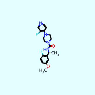 COc1ccc(F)c([C@@H](C)NC(=O)N2CCN(c3ccncc3F)CC2)c1